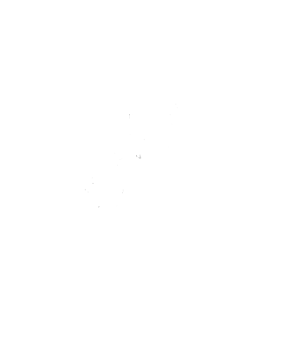 CC(C)CC(C)(Cc1ccccc1)NC(=O)c1cnc2ccccc2c1